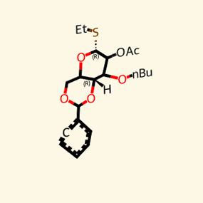 CCCCOC1C(OC(C)=O)[C@@H](SCC)OC2COC(c3ccccc3)O[C@H]21